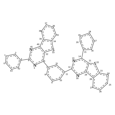 c1ccc(-c2nc(-c3cccc(-c4nc(-c5ccccc5)c5sc6ccccc6c5n4)c3)c3sc4ccccc4c3n2)cc1